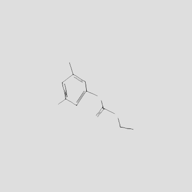 C[CH]OC(=O)Oc1cc(C)cc(C)c1